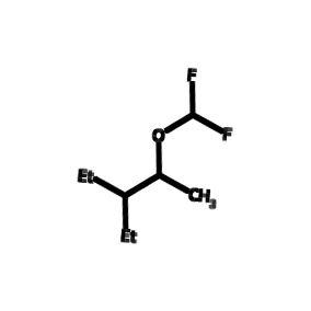 CCC(CC)C(C)OC(F)F